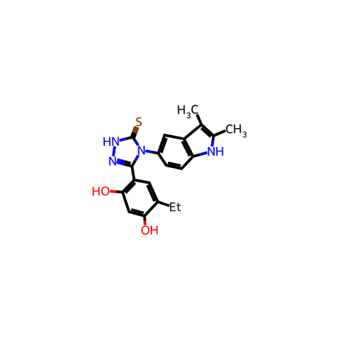 CCc1cc(-c2n[nH]c(=S)n2-c2ccc3[nH]c(C)c(C)c3c2)c(O)cc1O